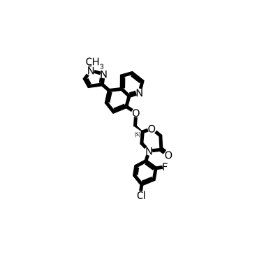 Cn1ccc(-c2ccc(OC[C@@H]3CN(c4ccc(Cl)cc4F)C(=O)CO3)c3ncccc23)n1